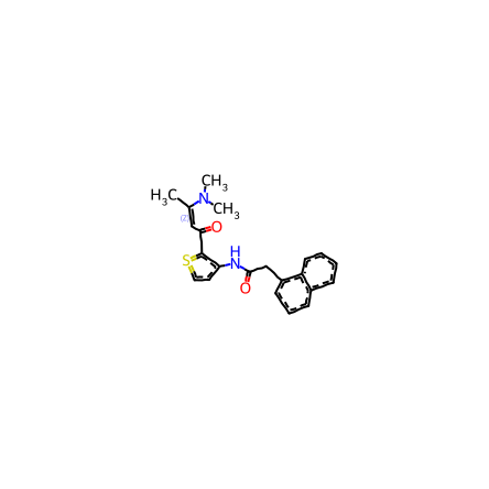 C/C(=C/C(=O)c1sccc1NC(=O)Cc1cccc2ccccc12)N(C)C